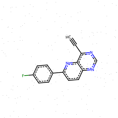 C#Cc1ncnc2ccc(-c3ccc(F)cc3)nc12